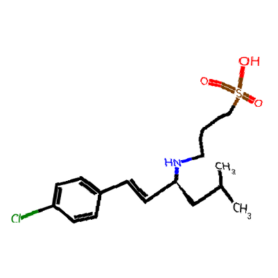 CC(C)C[C@@H](/C=C/c1ccc(Cl)cc1)NCCCS(=O)(=O)O